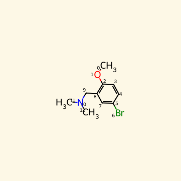 COc1ccc(Br)cc1CN(C)C